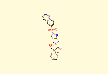 CC1([C@@H](CO)C(=O)N2Cc3cn(S(=O)(=O)c4ccc5ncccc5c4)nc3C2)C=CC=CC1